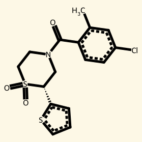 Cc1cc(Cl)ccc1C(=O)N1CCS(=O)(=O)[C@@H](c2cccs2)C1